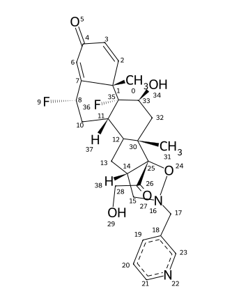 C[C@]12C=CC(=O)C=C1[C@@H](F)C[C@H]1C3C[C@H]4CN(Cc5cccnc5)O[C@@]4(C(=O)CO)[C@@]3(C)C[C@H](O)[C@@]12F